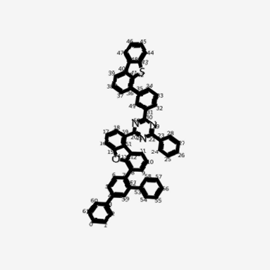 c1ccc(-c2ccc(-c3cccc4c3oc3cccc(-c5nc(-c6ccccc6)nc(-c6cccc(-c7cccc8c7sc7ccccc78)c6)n5)c34)c(-c3ccccc3)c2)cc1